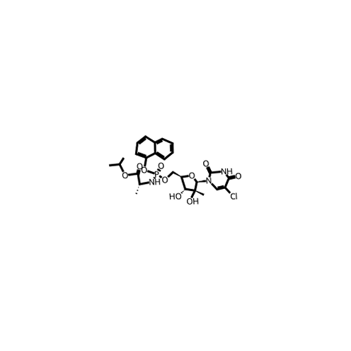 CC(C)OC(=O)[C@@H](C)NP(=O)(OC[C@H]1O[C@@H](n2cc(Cl)c(=O)[nH]c2=O)[C@](C)(O)[C@@H]1O)Oc1cccc2ccccc12